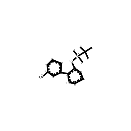 CC(C)(C)[Si](C)(C)Oc1cccnc1-c1cccc(N)c1